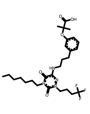 CCCCCCCn1c(=O)c(NCCCc2cccc(OC(C)(C)C(=O)O)c2)nn(CCCC(F)(F)F)c1=O